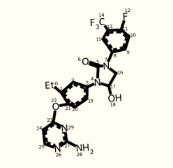 CCc1cc(N2C(=O)N(c3ccc(F)c(C(F)(F)F)c3)CC2O)ccc1Oc1ccnc(N)n1